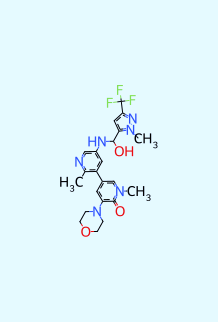 Cc1ncc(NC(O)c2cc(C(F)(F)F)nn2C)cc1-c1cc(N2CCOCC2)c(=O)n(C)c1